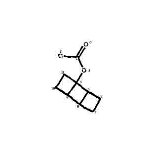 O=C(Cl)OC12C3C4C5C3C1C5C42